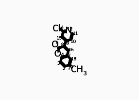 Cc1ccc2oc(=O)c(-c3ccnc(Cl)c3)cc2c1